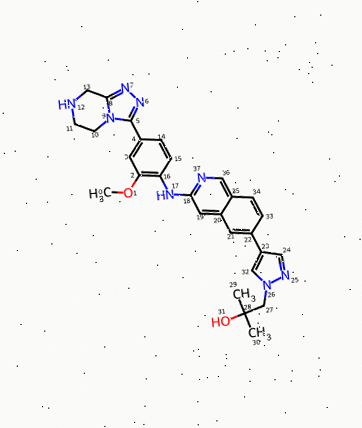 COc1cc(-c2nnc3n2CCNC3)ccc1Nc1cc2cc(-c3cnn(CC(C)(C)O)c3)ccc2cn1